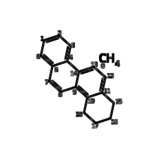 C.c1ccc2c(c1)ccc1c3c(ccc12)CCCC3